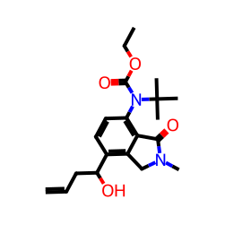 C=CCC(O)c1ccc(N(C(=O)OCC)C(C)(C)C)c2c1CN(C)C2=O